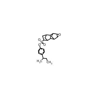 CCC(C)c1ccc(OS(=O)(=O)C2CC3CC2C2C4CC(C5OC45)C32)cc1